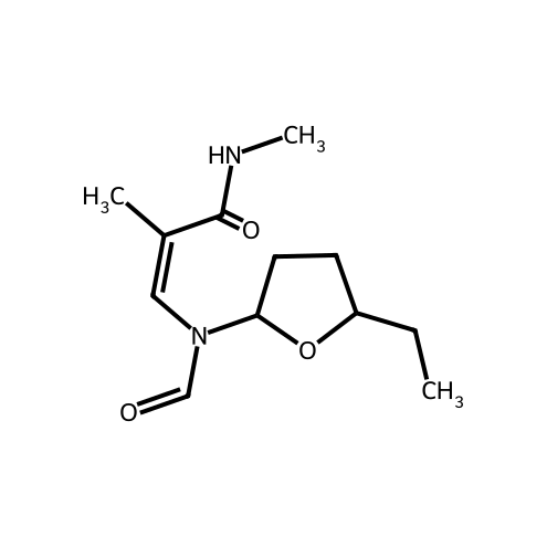 CCC1CCC(N(C=O)/C=C(/C)C(=O)NC)O1